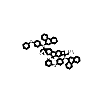 CCC1(N(c2ccc(Oc3ccccc3)cc2)c2cc3ccccc3c3ccccc23)Cc2cc3c(cc21)C(C)(C)c1cc2c(cc1-3)C2(CC)N(c1ccc(Oc2ccccc2)cc1)c1cc2ccccc2c2ccccc12